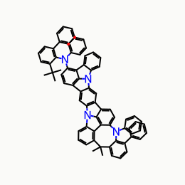 CC(C)(C)c1cccc(-c2ccccc2)c1N(c1ccccc1)c1ccc2c3cc4c(cc3n3c5ccccc5c1c23)c1ccc2c3c5c(cccc5n4c13)C(C)(C)c1cccc(-c3ccccc3)c1N2c1ccccc1